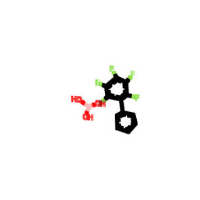 Fc1c(F)c(F)c(-c2ccccc2)c(F)c1F.OB(O)O